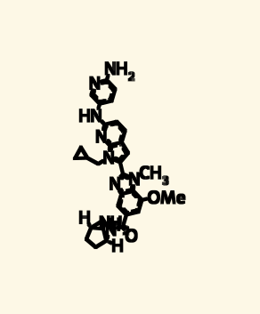 COc1cc(C(=O)N2C[C@H]3CC[C@@H]2[C@@H]3N)cc2nc(-c3cc4ccc(Nc5ccc(N)nc5)nc4n3CC3CC3)n(C)c12